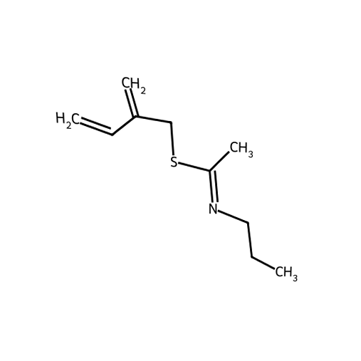 C=CC(=C)CS/C(C)=N/CCC